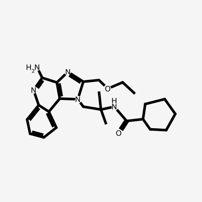 CCOCc1nc2c(N)nc3ccccc3c2n1CC(C)(C)NC(=O)C1CCCCC1